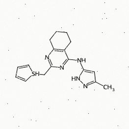 Cc1cc(Nc2nc(C[SH]3C=CC=C3)nc3c2CCCC3)[nH]n1